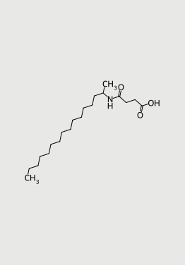 CCCCCCCCCCCCCCC(C)NC(=O)CCC(=O)O